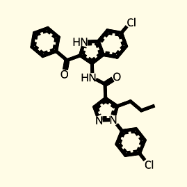 CCCc1c(C(=O)Nc2c(C(=O)c3ccccc3)[nH]c3cc(Cl)ccc23)cnn1-c1ccc(Cl)cc1